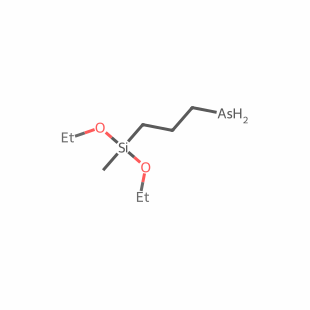 CCO[Si](C)(CCC[AsH2])OCC